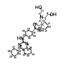 CC1(CN(CCO)CCO)C=CC=CC1NC(=O)c1ccc(Nc2nc(-c3ccccc3)c3ccccc3n2)cc1